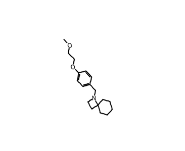 COCCOc1ccc(CN2CCC23CCCCC3)cc1